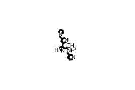 C=C(NCc1cccnc1)c1n[nH]cc1-c1cncc(CN2CCCC2)c1